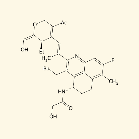 CCC(C)Cc1c(/C(C)=C/C2=C(C(C)=O)CO/C(=C/O)[C@@H]2CC)nc2cc(F)c(C)c3c2c1[C@@H](NC(=O)CO)CC3